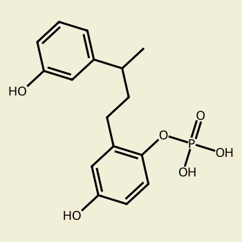 CC(CCc1cc(O)ccc1OP(=O)(O)O)c1cccc(O)c1